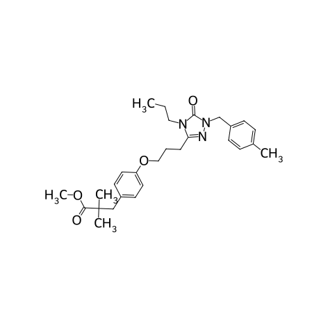 CCCn1c(CCCOc2ccc(CC(C)(C)C(=O)OC)cc2)nn(Cc2ccc(C)cc2)c1=O